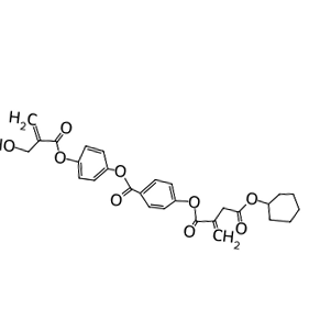 C=C(CO)C(=O)Oc1ccc(OC(=O)c2ccc(OC(=O)C(=C)CC(=O)OC3CCCCC3)cc2)cc1